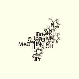 CCC(C)C(C(=O)NC(Cc1ccccc1)C(O)CN(Cc1ccc(OC(C)C)cc1)NC(=O)C(NC(=O)OC)C(C)(C)C)N1CCN(Cc2cccc(C)n2)C1=O